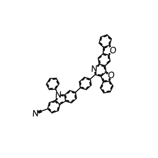 N#Cc1ccc2c3ccc(-c4ccc(-c5nc6cc7c(cc6c6oc8ccccc8c56)oc5ccccc57)cc4)cc3n(-c3ccccc3)c2c1